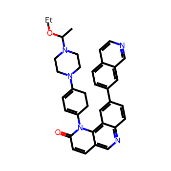 CCOC(C)N1CCN(C2=CC=C(n3c(=O)ccc4cnc5ccc(-c6ccc7ccncc7c6)cc5c43)CC2)CC1